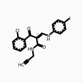 C#CCNC(=O)/C(=C\Nc1ccc(I)cc1)C(=O)c1ccccc1Cl